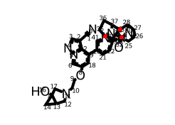 N#Cc1cnn2cc(OCCN3CC4CC4(O)C3)cc(-c3ccc(N4CC5CC(C4)N5C(=O)N4C5CCC4CC5)nc3)c12